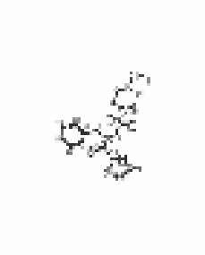 CN1CCN(S(=O)(=O)C[C@H](Cc2ccccc2)C(=O)c2n[c]cs2)CC1